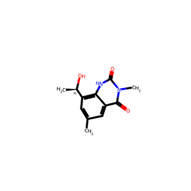 Cc1cc([C@@H](C)O)c2[nH]c(=O)n(C)c(=O)c2c1